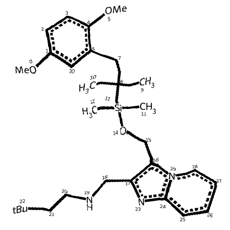 COc1ccc(OC)c(CC(C)(C)[Si](C)(C)OCc2c(CNCCC(C)(C)C)nc3ccccn23)c1